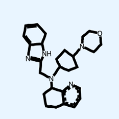 C1=CCC2NC(CN(C3CCC(N4CCOCC4)CC3)C3CCCc4cccnc43)=NC2=C1